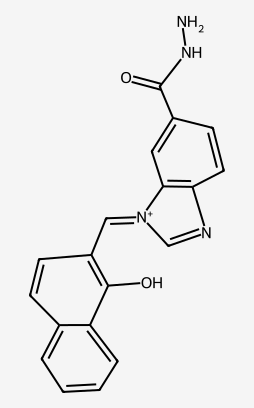 NNC(=O)c1ccc2c(c1)[N+](=Cc1ccc3ccccc3c1O)C=N2